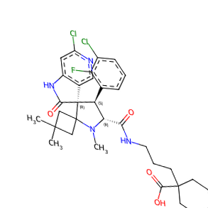 CN1[C@@H](C(=O)NCCCC2(C(=O)O)CCCCC2)[C@H](c2cccc(Cl)c2F)[C@]2(C(=O)Nc3cc(Cl)ncc32)C12CC(C)(C)C2